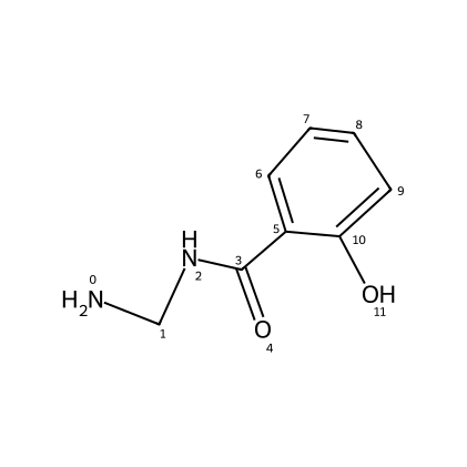 NCNC(=O)c1ccccc1O